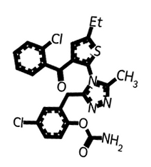 CCc1cc(C(=O)c2ccccc2Cl)c(-n2c(C)nnc2Cc2cc(Cl)ccc2OC(N)=O)s1